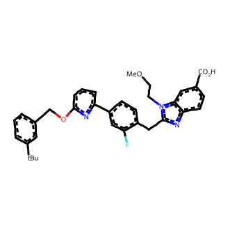 COCCn1c(Cc2ccc(-c3cccc(OCc4cccc(C(C)(C)C)c4)n3)cc2F)nc2ccc(C(=O)O)cc21